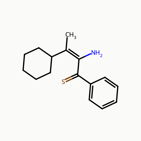 CC(=C(N)C(=S)c1ccccc1)C1CCCCC1